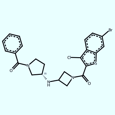 O=C(c1ccccc1)N1CC[C@H](NC2CN(C(=O)c3sc4cc(Br)ccc4c3Cl)C2)C1